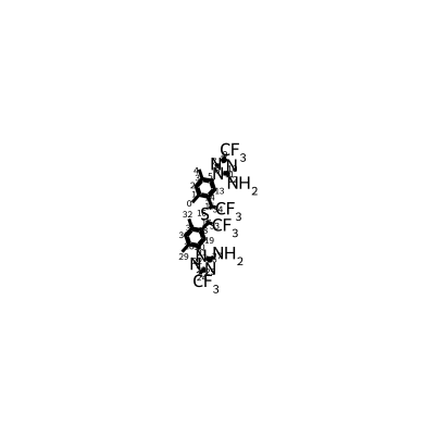 Cc1cc(C)c(-n2nc(C(F)(F)F)nc2N)cc1C(SC(c1cc(-n2nc(C(F)(F)F)nc2N)c(C)cc1C)C(F)(F)F)C(F)(F)F